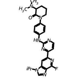 CC(C)n1cnc2c(F)nc(-c3ccnc(Nc4ccc(N5CCCC(N(C)C)C5=O)cc4)n3)cc21